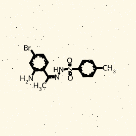 CC(=NNS(=O)(=O)c1ccc(C)cc1)c1ccc(Br)cc1N